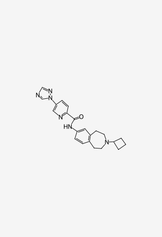 O=C(Nc1ccc2c(c1)CCN(C1CCC1)CC2)c1ccc(-n2cncn2)cn1